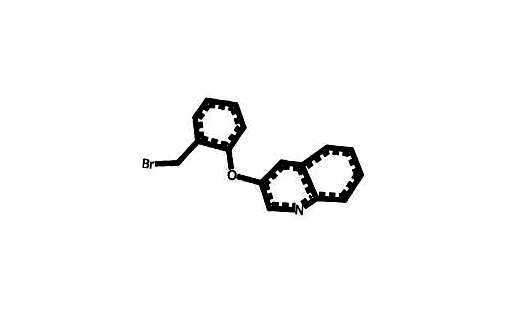 BrCc1ccccc1Oc1cnc2ccccc2c1